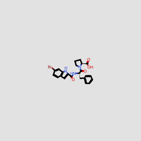 O=C(N[C@@H](Cc1ccccc1)C(=O)N1CCC[C@H]1C(=O)O)c1cc2ccc(Br)cc2[nH]1